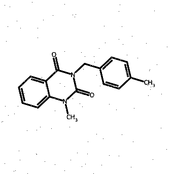 Cc1ccc(Cn2c(=O)c3ccccc3n(C)c2=O)cc1